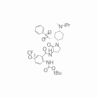 CC(C)N(C)[C@@H]1CC[C@H](N2CC[C@@H](NC(=O)c3cc(OC(F)(F)F)ccc3NC(=O)OC(C)(C)C)C2=O)[C@H](CS(=O)(=O)c2ccccc2)C1